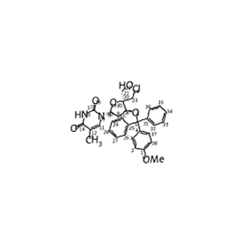 COc1ccc(C(O[C@H]2C[C@H](n3cc(C)c(=O)[nH]c3=O)O[C@@]2(CO)CCl)(c2ccccc2)c2ccccc2)cc1